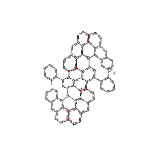 Cc1ccccc1-c1cc(B(c2c3ccccc3cc3ccccc23)c2c3ccccc3cc3ccccc23)c2ccc3c(-c4ccccc4C(F)(F)F)cc(B(c4c5ccccc5cc5ccccc45)c4c5ccccc5cc5ccccc45)c4ccc1c2c43